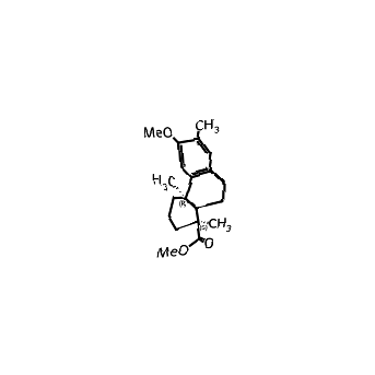 COC(=O)[C@@]1(C)CCC[C@@]2(C)c3cc(OC)c(C)cc3CCC21